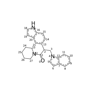 O=C(C(Cn1ccc2ccccc21)c1ccc2[nH]ccc2c1)N1CCCCC1